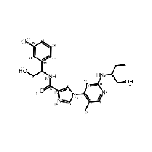 CCC(CO)Nc1ncc(C)c(-n2cnc(C(=O)NC(CO)c3cccc(Cl)c3)c2)n1